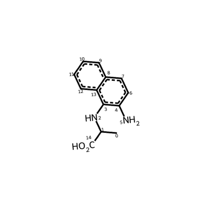 CC(Nc1c(N)ccc2ccccc12)C(=O)O